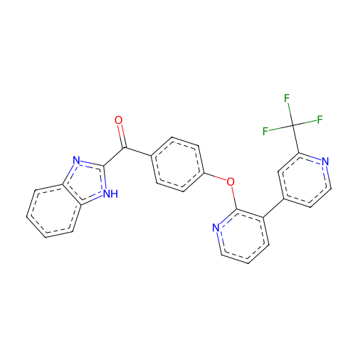 O=C(c1ccc(Oc2ncccc2-c2ccnc(C(F)(F)F)c2)cc1)c1nc2ccccc2[nH]1